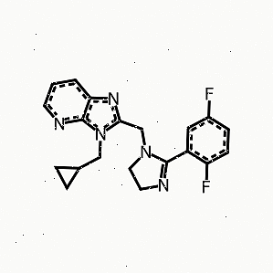 Fc1ccc(F)c(C2=NCCN2Cc2nc3cccnc3n2CC2CC2)c1